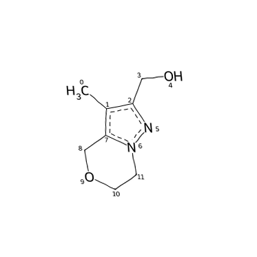 Cc1c(CO)nn2c1COCC2